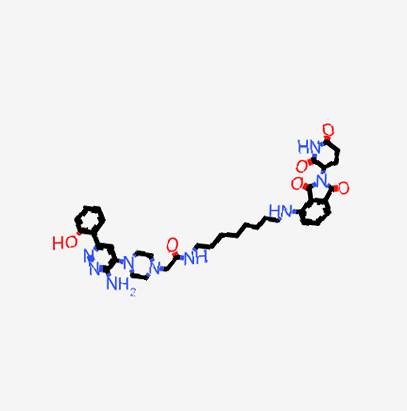 Nc1nnc(-c2ccccc2O)cc1N1CCN(CC(=O)NCCCCCCCCNc2cccc3c2C(=O)N(C2CCC(=O)NC2=O)C3=O)CC1